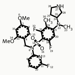 COc1ccc(CN(c2cccc(F)n2)S(=O)(=O)c2c(F)cc(N(C)[C@H]3CCNC3)c(C)c2F)c(OC)c1